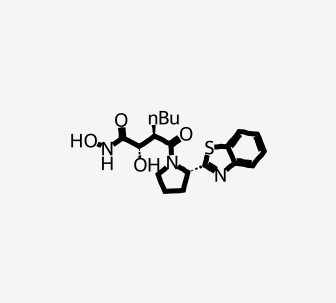 CCCC[C@@H](C(=O)N1CCC[C@H]1c1nc2ccccc2s1)[C@H](O)C(=O)NO